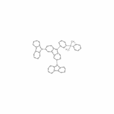 CC(C)(c1ccccc1)c1cccc(-n2c3ccc(-n4c5ccccc5c5ccccc54)cc3c3cc(-n4c5ccccc5c5ccccc54)ccc32)c1